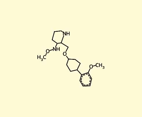 CONC1CCCNC1COC1CCC(c2ccccc2OC)CC1